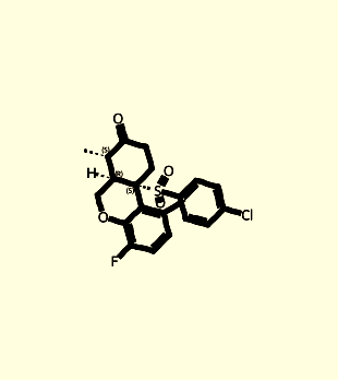 C[C@@H]1C(=O)CC[C@@]2(S(=O)(=O)c3ccc(Cl)cc3)c3c(F)ccc(F)c3OC[C@@H]12